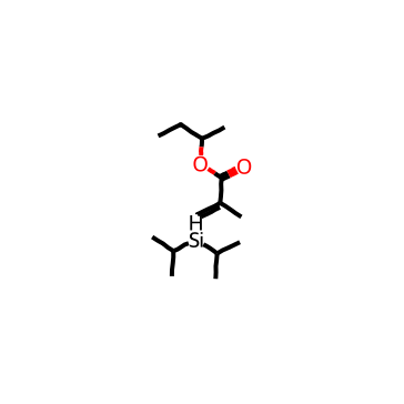 CCC(C)OC(=O)C(C)=C[SiH](C(C)C)C(C)C